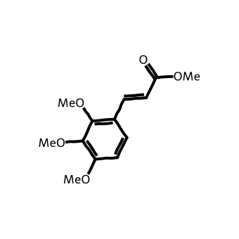 COC(=O)C=Cc1ccc(OC)c(OC)c1OC